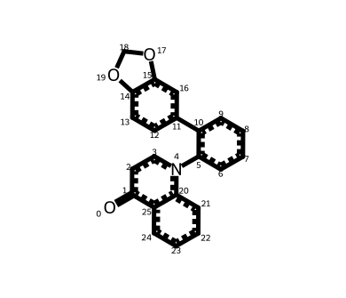 O=c1ccn(-c2ccccc2-c2ccc3c(c2)OCO3)c2ccccc12